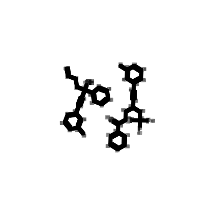 C=CCCC(O)(C#Cc1cccc(C)c1)c1ccccc1.Cc1cccc(C#CC(CCC(=O)c2ccccc2)CC(F)(F)F)c1